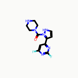 O=C(N1CCNCC1)[n+]1[nH]ccc1-c1cc(F)nc(F)n1